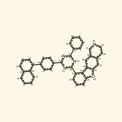 c1ccc(-c2nc(-c3ccc(-c4cccc5ccccc45)cc3)nc(-c3cccc4oc5cc6ccncc6cc5c34)n2)cc1